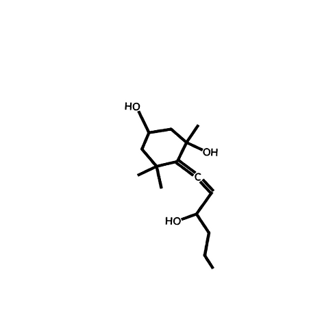 CCCC(O)C=C=C1C(C)(C)CC(O)CC1(C)O